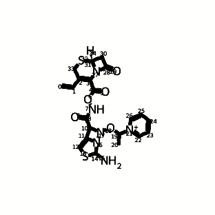 C=CC1=C(C(=O)ONC(=O)C2C3=CSC(N)N3N2OC(C)[n+]2ccccc2)N2C(=O)C[C@@H]2SC1